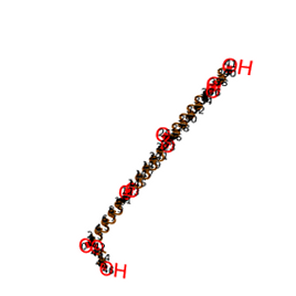 O=C(CSCSCSCSCCOOCSCSCSCSCOC(=O)CSCSCSCSCCOOCSCO)OCSCO